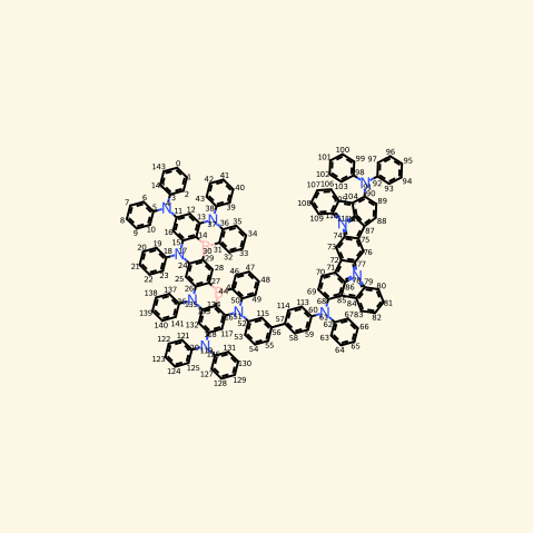 c1ccc(N(c2ccccc2)c2cc3c4c(c2)N(c2ccccc2)c2cc5c(cc2B4c2ccccc2N3c2ccccc2)B2c3ccccc3N(c3cccc(-c4ccc(N(c6ccccc6)c6ccc7c8cc9c(cc8n8c%10ccccc%10c6c78)c6ccc(N(c7ccccc7)c7ccccc7)c7c8ccccc8n9c67)cc4)c3)c3cc(N(c4ccccc4)c4ccccc4)cc(c32)N5c2ccccc2)cc1